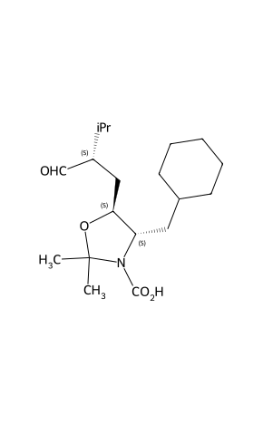 CC(C)[C@@H](C=O)C[C@@H]1OC(C)(C)N(C(=O)O)[C@H]1CC1CCCCC1